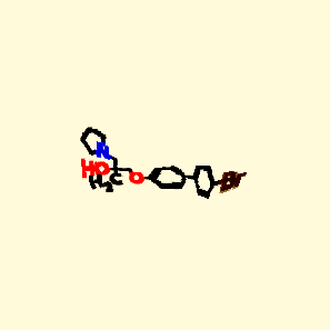 CC(O)(COc1ccc(-c2ccc(Br)cc2)cc1)CN1CCCC1